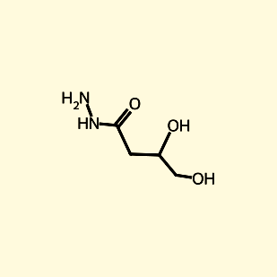 NNC(=O)CC(O)CO